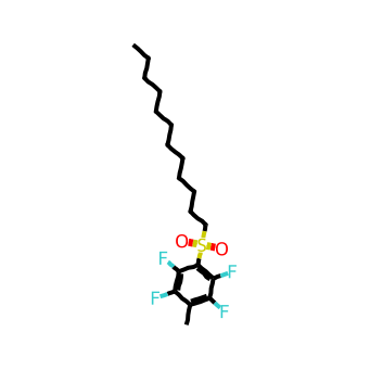 CCCCCCCCCCCCS(=O)(=O)c1c(F)c(F)c(C)c(F)c1F